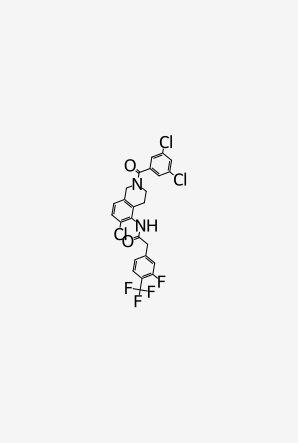 O=C(Cc1ccc(C(F)(F)F)c(F)c1)Nc1c(Cl)ccc2c1CCN(C(=O)c1cc(Cl)cc(Cl)c1)C2